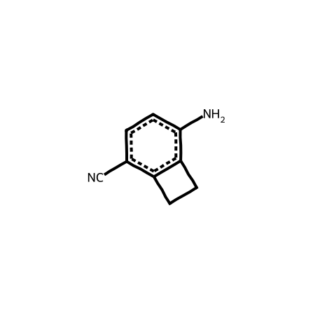 N#Cc1ccc(N)c2c1CC2